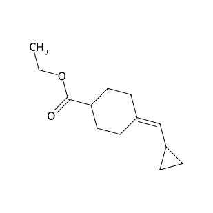 CCOC(=O)C1CCC(=CC2CC2)CC1